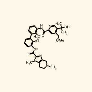 COCc1cc(C(=O)Nc2cccc(-c3cccc(NC(=O)c4nc5c(n4C)CCN(C)C5)c3Cl)c2C)ncc1C(C)(C)O